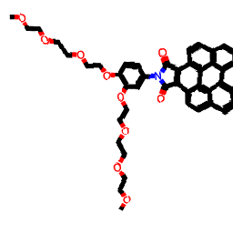 COCCOCCOCCOc1ccc(-n2c(=O)c3c4ccc5cccc6c7cccc8ccc(c3c2=O)c(c87)c4c56)cc1OCCOCCOCCOC